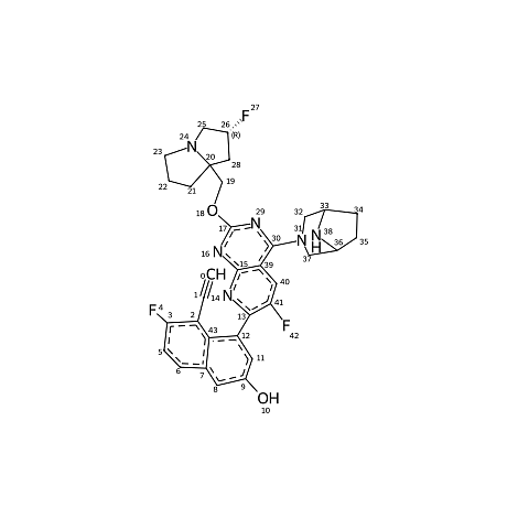 C#Cc1c(F)ccc2cc(O)cc(-c3nc4nc(OCC56CCCN5C[C@H](F)C6)nc(N5CC6CCC(C5)N6)c4cc3F)c12